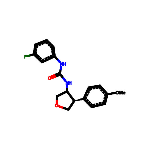 COc1ccc([C@@H]2COCC2NC(=O)Nc2cccc(F)c2)cc1